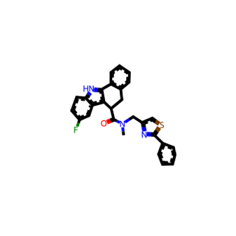 CN(Cc1csc(-c2ccccc2)n1)C(=O)C1Cc2ccccc2-c2[nH]c3ccc(F)cc3c21